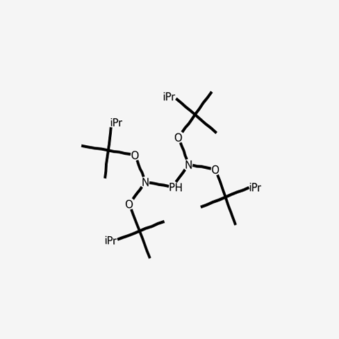 CC(C)C(C)(C)ON(OC(C)(C)C(C)C)PN(OC(C)(C)C(C)C)OC(C)(C)C(C)C